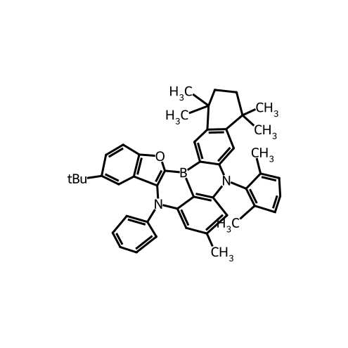 Cc1cc2c3c(c1)N(c1ccccc1)c1c(oc4ccc(C(C)(C)C)cc14)B3c1cc3c(cc1N2c1c(C)cccc1C)C(C)(C)CCC3(C)C